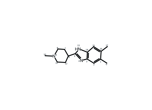 Cc1cc2nc(C3CCN(C)CC3)[nH]c2cc1C